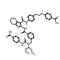 CCC(CC)N(Cc1cccc(C(=O)Nc2sc3c(c2C(=O)Nc2ccc(CCCc4ccc(C(=O)O)cc4)cc2)CCCC3)c1)C(=O)Nc1ccc(C(=O)O)cc1